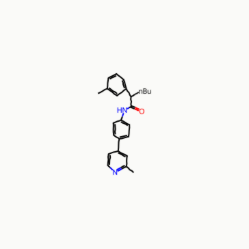 CCCCC(C(=O)Nc1ccc(-c2ccnc(C)c2)cc1)c1cccc(C)c1